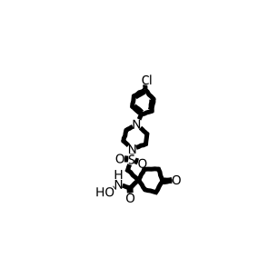 O=C1CCC(CS(=O)(=O)N2CCN(c3ccc(Cl)cc3)CC2)(C(=O)NO)CC1